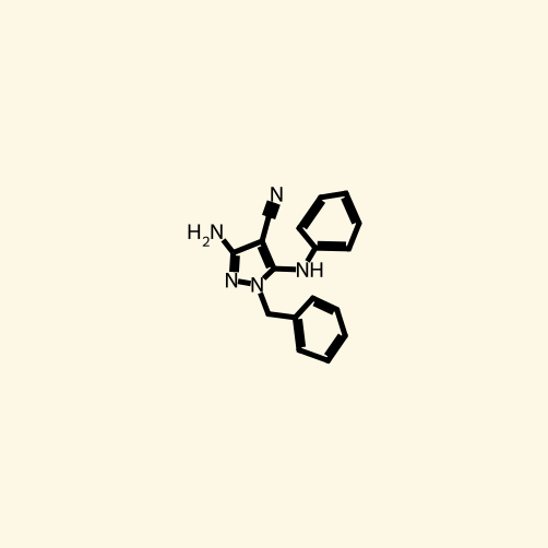 N#Cc1c(N)nn(Cc2ccccc2)c1Nc1ccccc1